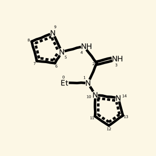 CCN(C(=N)Nn1cccn1)n1cccn1